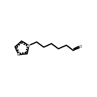 O=[C]CCCCCn1ccnc1